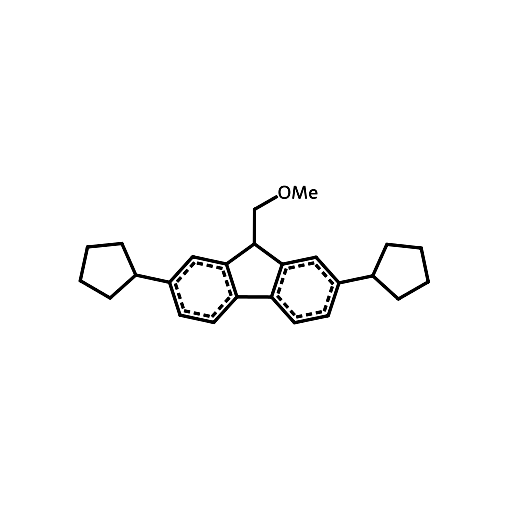 COCC1c2cc(C3CCCC3)ccc2-c2ccc(C3CCCC3)cc21